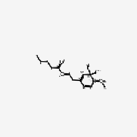 CCCCC(=O)OCCC1=CC(F)(F)N(OC)C=C1